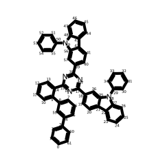 c1ccc(-c2cccc(-c3ccccc3-c3nc(-c4ccc5c6ccccc6n(-c6ccccc6)c5c4)nc(-c4ccc5c6ccccc6n(-c6ccccc6)c5c4)n3)c2)cc1